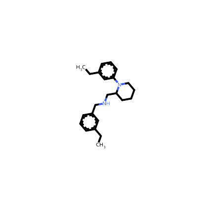 CCc1cccc(CNCC2CCCCN2c2cccc(CC)c2)c1